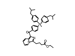 CCOC(=O)CCCc1nc(C(=O)c2ccc([N+](C)(c3ccc(CC(C)C)cc3)c3ccc(CC(C)C)cc3)cc2)c2ccccn12